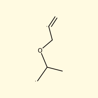 [CH2]C(C)OC[C]=C